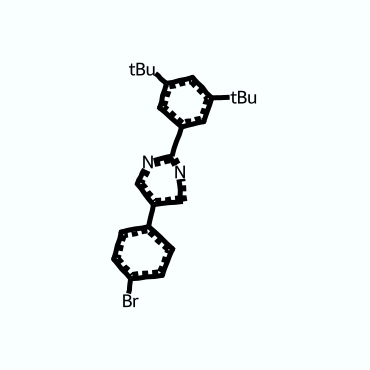 CC(C)(C)c1cc(-c2ncc(-c3ccc(Br)cc3)cn2)cc(C(C)(C)C)c1